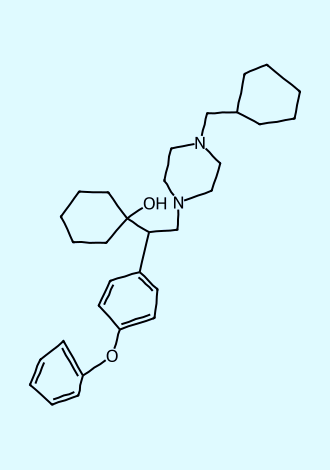 OC1(C(CN2CCN(CC3CCCCC3)CC2)c2ccc(Oc3ccccc3)cc2)CCCCC1